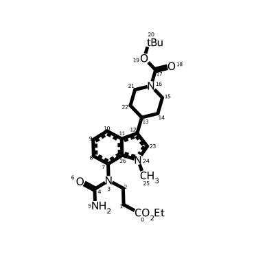 CCOC(=O)CCN(C(N)=O)c1cccc2c(C3CCN(C(=O)OC(C)(C)C)CC3)cn(C)c12